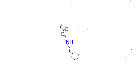 C=CC(=O)OCCNCCCC1CCCCC1